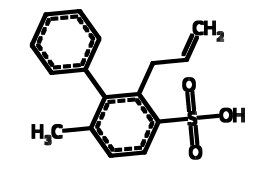 C=CCc1c(S(=O)(=O)O)ccc(C)c1-c1ccccc1